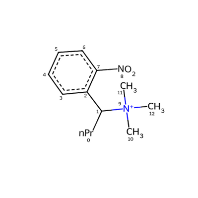 CCCC(c1ccccc1[N+](=O)[O-])[N+](C)(C)C